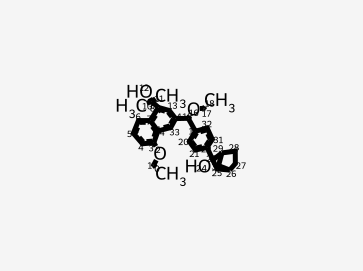 CCOc1cccc2c(C(C)(C)O)cc(C(OCC)c3ccc(C4(O)CC5CCC4C5)cc3)cc12